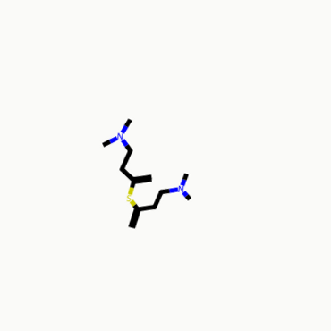 C=C(CCN(C)C)SC(=C)CCN(C)C